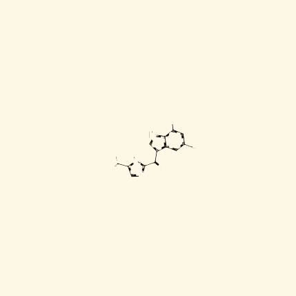 CC[C@H](O)c1csc(C(=O)c2c[nH]c3c(F)cc(F)cc23)n1